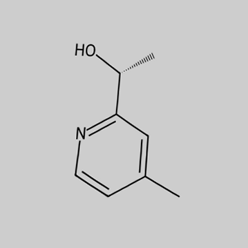 Cc1ccnc([C@@H](C)O)c1